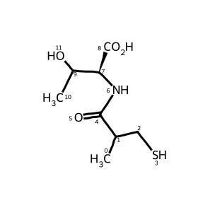 CC(CS)C(=O)N[C@H](C(=O)O)C(C)O